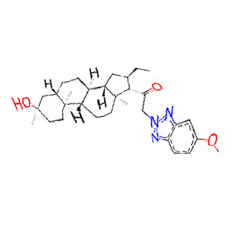 CC[C@@H]1C[C@H]2[C@@H]3CC[C@H]4C[C@](C)(O)CC[C@]4(C)[C@H]3CC[C@]2(C)[C@H]1C(=O)Cn1nc2ccc(OC)cc2n1